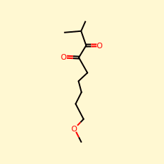 COCCCCCC(=O)C(=O)C(C)C